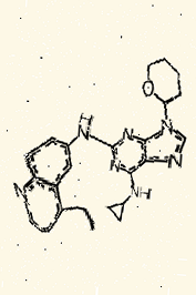 CCc1ccnc2ccc(Nc3nc(NC4CC4)c4ncn(C5CCCCO5)c4n3)cc12